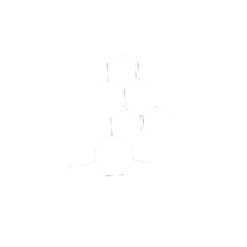 CCc1cccc(CC)c1N(CC1OC(C)CCC(C)O1)C(=O)CCl